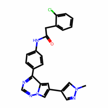 Cn1cc(-c2cc3c(-c4ccc(NC(=O)Cc5ccccc5Cl)cc4)ncnn3c2)cn1